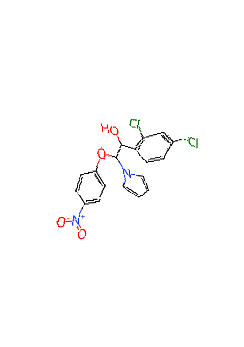 O=[N+]([O-])c1ccc(OC(C(O)c2ccc(Cl)cc2Cl)n2cccc2)cc1